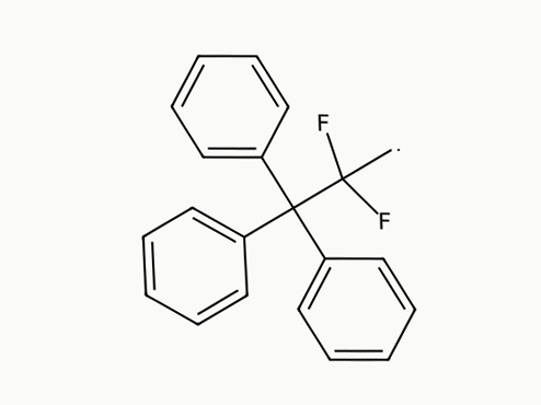 [CH2]C(F)(F)C(c1ccccc1)(c1ccccc1)c1ccccc1